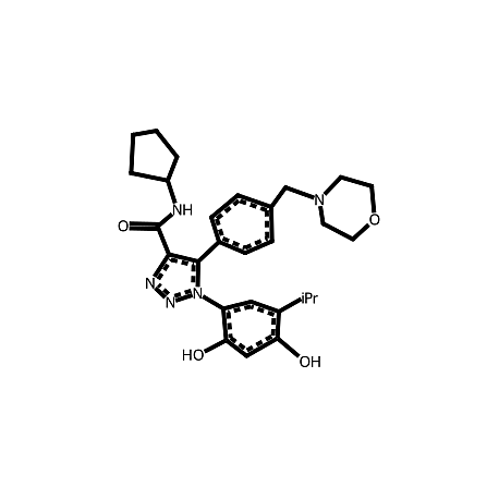 CC(C)c1cc(-n2nnc(C(=O)NC3CCCC3)c2-c2ccc(CN3CCOCC3)cc2)c(O)cc1O